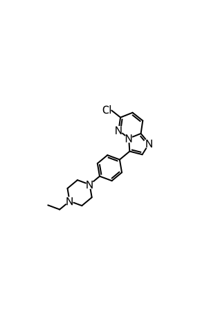 CCN1CCN(c2ccc(-c3cnc4ccc(Cl)nn34)cc2)CC1